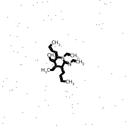 C=C/N=c1/c(=C/C=C\C)c(=CC)c(=C/C)/c(=C\C=C/C)n1C=C